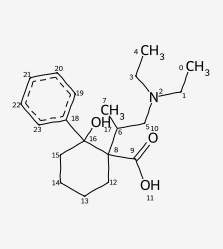 CCN(CC)CC(C)C1(C(=O)O)CCCCC1(O)c1ccccc1